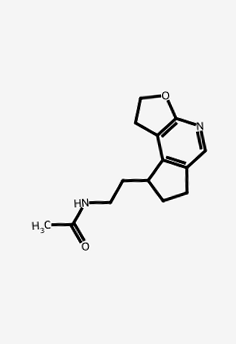 CC(=O)NCCC1CCc2cnc3c(c21)CCO3